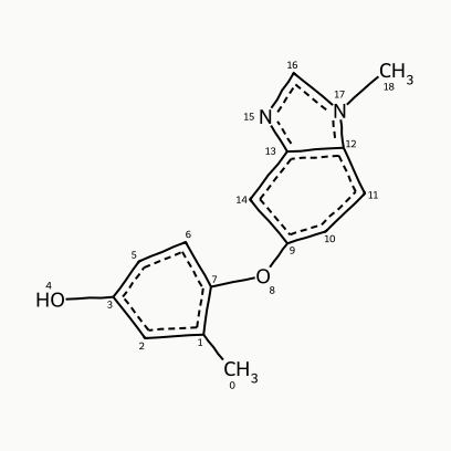 Cc1cc(O)ccc1Oc1ccc2c(c1)ncn2C